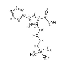 COC(=O)c1cc(-c2ccncc2)nn1COCC[Si](C)(C)C